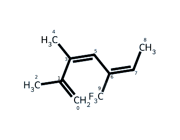 C=C(C)/C(C)=C\C(=C/C)C(F)(F)F